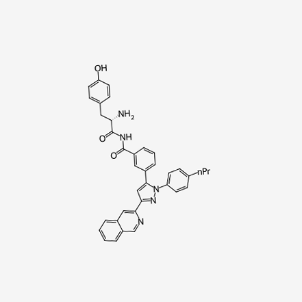 CCCc1ccc(-n2nc(-c3cc4ccccc4cn3)cc2-c2cccc(C(=O)NC(=O)[C@@H](N)Cc3ccc(O)cc3)c2)cc1